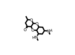 CNC1CC(NC)C2OC3C(=O)CC(C)OC3OC2C1